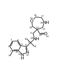 Cc1cccc2c(C(C)(C)NCC3(C=O)CNCCOC3)n[nH]c12